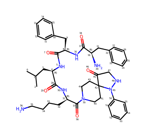 CC(C)C[C@@H](NC(=O)[C@@H](Cc1ccccc1)NC(=O)[C@H](N)Cc1ccccc1)C(=O)N[C@H](CCCCN)C(=O)N1CCC2(CC1)C(=O)CNN2c1ccccc1